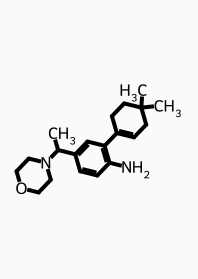 CC(c1ccc(N)c(C2=CCC(C)(C)CC2)c1)N1CCOCC1